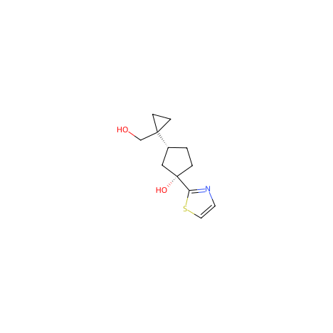 OCC1([C@@H]2CC[C@@](O)(c3nccs3)C2)CC1